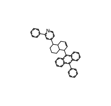 C1=CC(c2c3ccccc3c(-c3ccccc3)c3ccccc23)C2CCCC(c3ccnc(-c4ccccc4)c3)C2C1